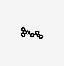 c1cc(-c2cnc3c4ccccc4c4ccccc4c3n2)cc(-c2cccc3c2Cc2ccccc2-3)c1